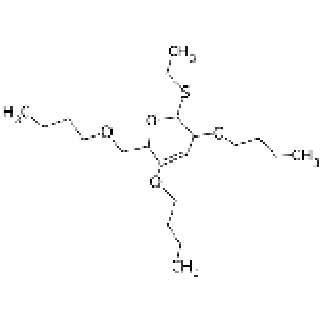 CCCCOCC1OC(SCC)C(OCCCC)C=C1OCCCC